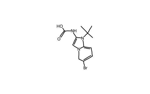 CC(C)(C)N1C(NC(=O)O)=CN2CC(Br)=CC=C21